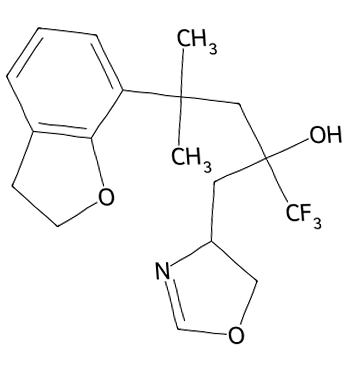 CC(C)(CC(O)(CC1COC=N1)C(F)(F)F)c1cccc2c1OCC2